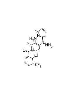 Cc1cccc(N(N)C2=C(N)C(C)N(C(=O)c3cccc(C(F)(F)F)c3Cl)CC2)n1